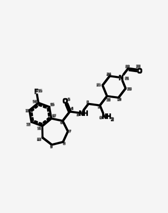 NC(CNC(=O)C1CCCCc2ccc(F)cc21)C1CCN(C=O)CC1